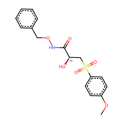 COc1ccc(S(=O)(=O)C[C@@H](O)C(=O)NOCc2ccccc2)cc1